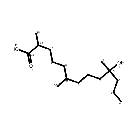 CCCC(C)(O)CCCC(C)CCCC(C)C(=O)O